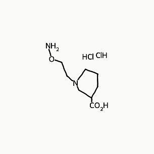 Cl.Cl.NOCCN1CCCC(C(=O)O)C1